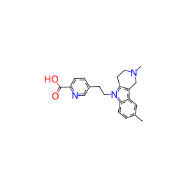 Cc1ccc2c(c1)c1c(n2CCc2ccc(C(=O)O)nc2)CCN(C)C1